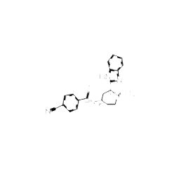 CN1CC[C@@H](NC(=O)c2ccc(C#N)cc2)C[C@@H]1c1nc2ccccc2[nH]1